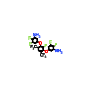 Nc1cc(Oc2c(C(F)(F)F)cc(C(F)(F)F)c(Oc3cc(N)c(F)c(F)c3)c2F)cc(F)c1F